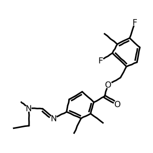 CCN(C)/C=N/c1ccc(C(=O)OCc2ccc(F)c(C)c2F)c(C)c1C